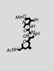 C=C1C/C(=C(\C=N)[S+]([O-])NC(=O)Nc2c(C(C)C)cc(OC)nc2C)OCC(CNC(C)=O)C1